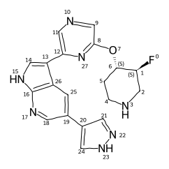 F[C@H]1CNCC[C@@H]1Oc1cncc(-c2c[nH]c3ncc(-c4cn[nH]c4)cc23)n1